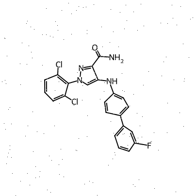 NC(=O)c1nn(-c2c(Cl)cccc2Cl)cc1Nc1ccc(-c2cccc(F)c2)cc1